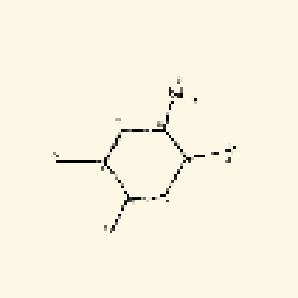 CC(C)C1CC(C)C(C)CC1N